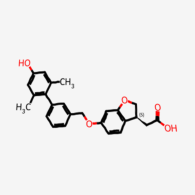 Cc1cc(O)cc(C)c1-c1cccc(COc2ccc3c(c2)OC[C@H]3CC(=O)O)c1